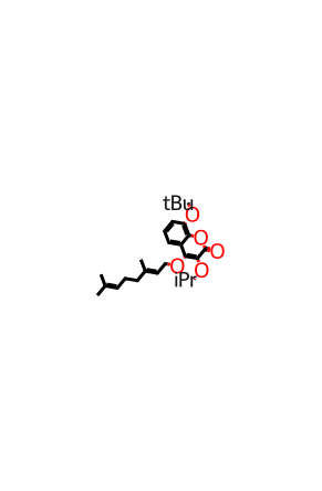 CC(C)=CCC/C(C)=C/COc1c(OC(C)C)c(=O)oc2c(OC(C)(C)C)cccc12